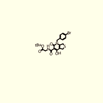 CC(C)(C)OC(=O)CNC(=O)c1c(O)c2c(n(Cc3ccc(Br)cc3)c1=O)CSC2